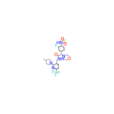 CC1CCN(c2nc(C(F)(F)F)ccc2CNC(=O)C(c2ccc(NS(C)(=O)=O)c(F)c2)N2CCOCC2)CC1